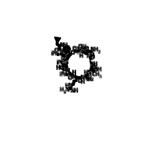 CC[C@H](C)[C@@H]1NC(=O)[C@@H](CCCNC(=N)N)NC(=O)[C@H](CC(C)C)NC(=O)[C@H]([C@H](O)C(C)C)NC(=O)[C@@H](NC(=O)[C@H](CC(C)C)NC(=O)[C@H](N)CC2CC2)[C@@H](c2ccccc2)OC(=O)[C@H](CO)NC(=O)[C@H]([C@H](O)C(N)=O)NC(=O)CNC(=O)[C@H]([C@H](C)O)NC1=O